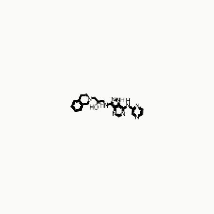 O[C@H](CNc1n[nH]c2c(Nc3cnccn3)ncnc12)CN1CCc2ccccc2C1